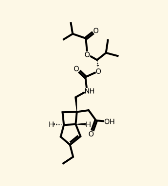 CCC1=C[C@@H]2[C@@H](C1)C[C@]2(CNC(=O)O[C@H](OC(=O)C(C)C)C(C)C)CC(=O)O